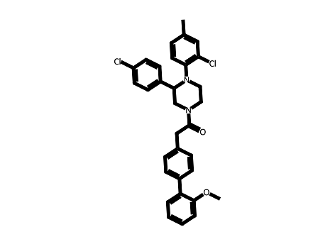 COc1ccccc1-c1ccc(CC(=O)N2CCN(c3ccc(C)cc3Cl)C(c3ccc(Cl)cc3)C2)cc1